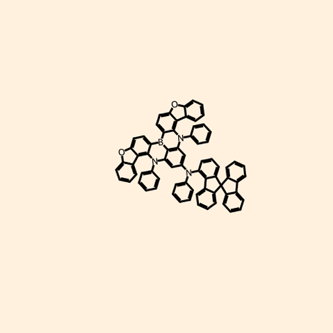 c1ccc(N(c2cc3c4c(c2)N(c2ccccc2)c2c(ccc5oc6ccccc6c25)B4c2ccc4oc5ccccc5c4c2N3c2ccccc2)c2cccc3c2-c2ccccc2C32c3ccccc3-c3ccccc32)cc1